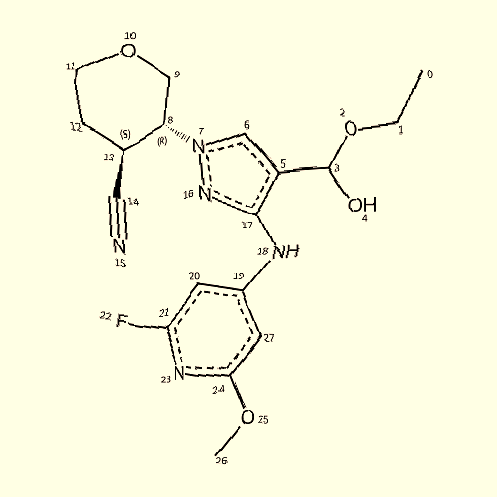 CCOC(O)c1cn([C@H]2COCC[C@@H]2C#N)nc1Nc1cc(F)nc(OC)c1